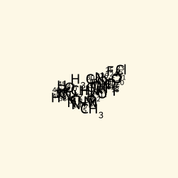 Cc1cc([C@@H](C)n2cc(NC(=O)c3nc(-c4c(C(F)F)ccc(Cl)c4F)cnc3[C@@H](C)O)cn2)nnc1N1C[C@H]2C[C@H]2C1=O